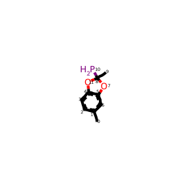 Cc1ccc2c(c1)OC(C)(P)O2